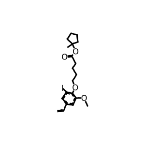 C=Cc1cc(I)c(OCCCCC(=O)OC2(C)CCCC2)c(OC)c1